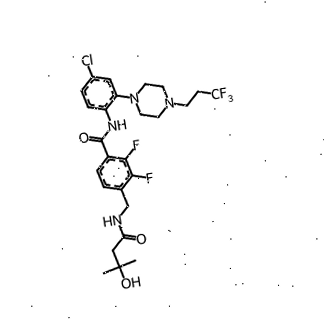 CC(C)(O)CC(=O)NCc1ccc(C(=O)Nc2ccc(Cl)cc2N2CCN(CCC(F)(F)F)CC2)c(F)c1F